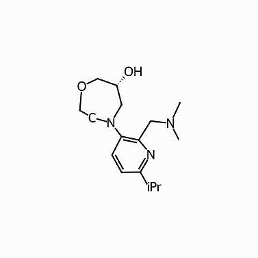 CC(C)c1ccc(N2CCOC[C@H](O)C2)c(CN(C)C)n1